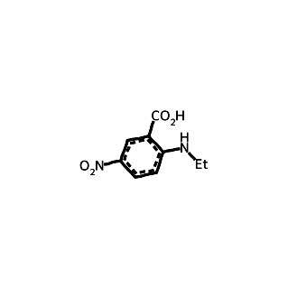 CCNc1ccc([N+](=O)[O-])cc1C(=O)O